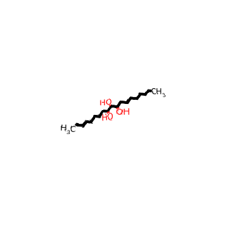 CCCCCCCCC(O)C(O)C(O)CCCCCCCC